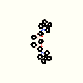 c1ccc(C2(c3ccccc3)c3ccccc3N(c3cc4c5c(c3)Oc3cc6c(cc3B5c3ccccc3O4)B3c4ccccc4Oc4cc(N5c7ccccc7C(c7ccccc7)(c7ccccc7)c7ccccc75)cc(c43)O6)c3ccccc32)cc1